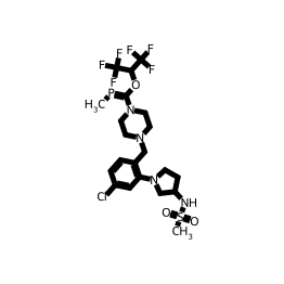 C/P=C(/OC(C(F)(F)F)C(F)(F)F)N1CCN(Cc2ccc(Cl)cc2N2CCC(NS(C)(=O)=O)C2)CC1